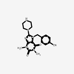 Cn1c(=O)c2c(nc(N3CCNCC3)n2Cc2ccc(C#N)cc2)n(C)c1=O